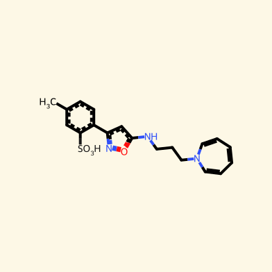 Cc1ccc(-c2cc(NCCCN3C=CC=CC=C3)on2)c(S(=O)(=O)O)c1